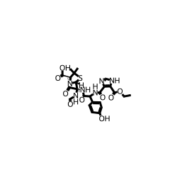 CCOC(=O)c1[nH]cnc1C(=O)NC(C(=O)N[C@]1(NC=O)C(=O)N2[C@@H](C(=O)O)C(C)(C)S[C@@H]21)c1ccc(O)cc1